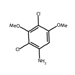 COc1cc(N)c(Cl)c(OC)c1Cl